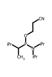 CC(C)C(C)P(OCCC#N)N(C(C)C)C(C)C